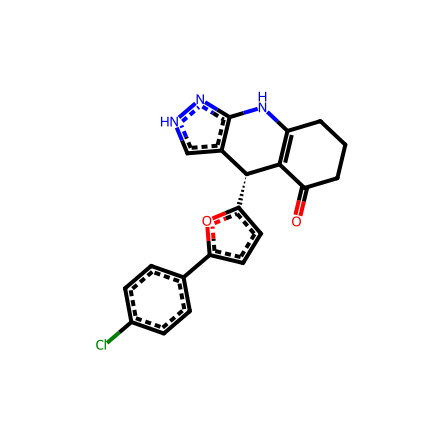 O=C1CCCC2=C1[C@H](c1ccc(-c3ccc(Cl)cc3)o1)c1c[nH]nc1N2